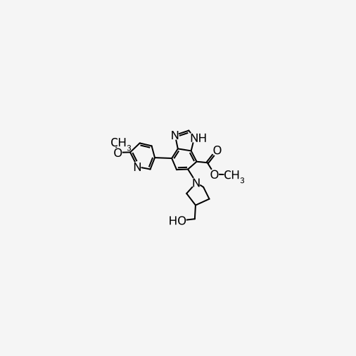 COC(=O)c1c(N2CCC(CO)C2)cc(-c2ccc(OC)nc2)c2nc[nH]c12